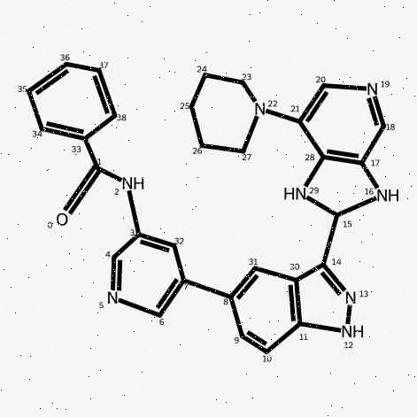 O=C(Nc1cncc(-c2ccc3[nH]nc(C4Nc5cncc(N6CCCCC6)c5N4)c3c2)c1)c1ccccc1